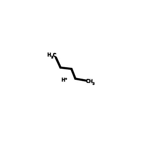 CCCCC.[H+]